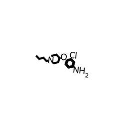 CCCCN1CCC(Oc2ccc(N)cc2Cl)CC1